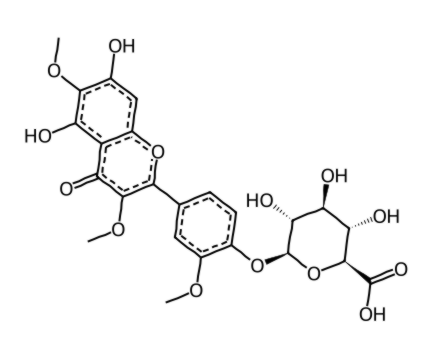 COc1cc(-c2oc3cc(O)c(OC)c(O)c3c(=O)c2OC)ccc1O[C@@H]1O[C@H](C(=O)O)[C@@H](O)[C@H](O)[C@H]1O